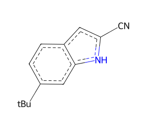 CC(C)(C)c1ccc2cc(C#N)[nH]c2c1